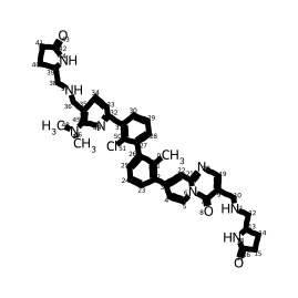 Cc1c(-c2ccn3c(=O)c(CNCC4CCC(=O)N4)cnc3c2)cccc1-c1cccc(-c2ccc(CNCC3CCC(=O)N3)c(N(C)C)n2)c1Cl